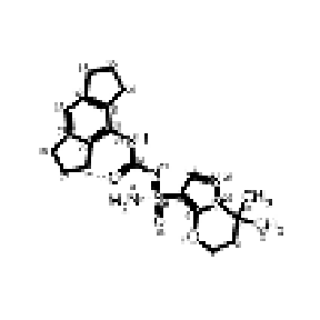 CC1(C)CCOc2c([S@@](N)(=O)=NC(=O)Nc3c4c(cc5c3CCC5)CCC4)cnn21